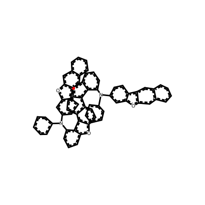 c1ccc(N(c2ccc3c(c2)oc2cc4ccccc4cc23)c2cccc3oc4ccc5c(ccc6oc7cccc(N(c8ccccc8)c8ccc9c(c8)oc8cc%10ccccc%10cc89)c7c65)c4c23)cc1